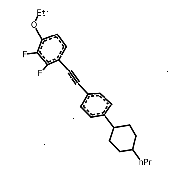 CCCC1CCC(c2ccc(C#Cc3ccc(OCC)c(F)c3F)cc2)CC1